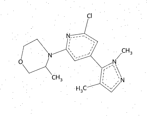 Cc1cnn(C)c1-c1cc(Cl)nc(N2CCOCC2C)c1